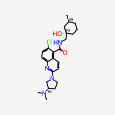 C[C@H]1CCC[C@@](O)(CNC(=O)c2c(Cl)ccc3nc(N4CC[C@@H](N(C)C)C4)ccc23)C1